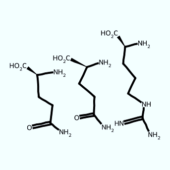 N=C(N)NCCC[C@H](N)C(=O)O.NC(=O)CC[C@H](N)C(=O)O.NC(=O)CC[C@H](N)C(=O)O